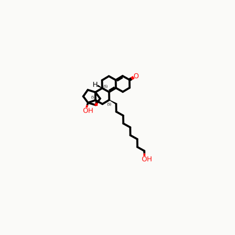 C[C@]12C[C@H](CCCCCCCCCO)C3=C4CCC(=O)C=C4CC[C@H]3C13CCC2(O)CC3